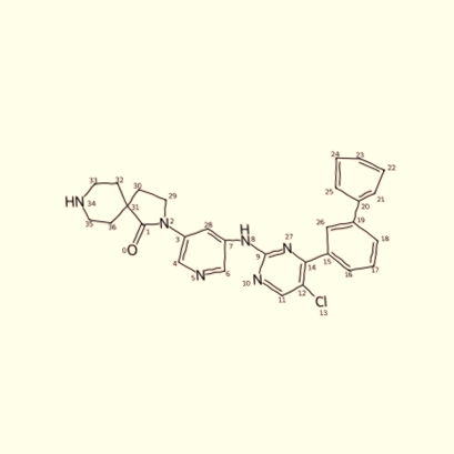 O=C1N(c2cncc(Nc3ncc(Cl)c(-c4cccc(-c5ccccc5)c4)n3)c2)CCC12CCNCC2